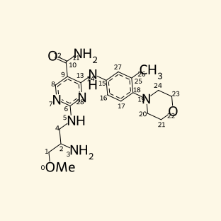 COCC(N)CNc1ncc(C(N)=O)c(Nc2ccc(N3CCOCC3)c(C)c2)n1